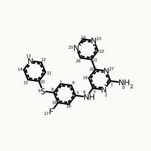 Nc1nc(Nc2ccc(Sc3ccncc3)c(F)c2)cc(-c2cncnc2)n1